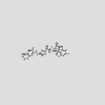 Cc1cc(C)c(S(=O)(=O)N[C@H](CNC(=O)c2cnn(CCc3cc4c(nc3C)NCCC4)c2)C(=O)O)c(C)c1